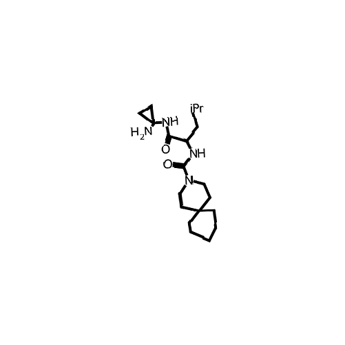 CC(C)CC(NC(=O)N1CCC2(CCCCC2)CC1)C(=O)NC1(N)CC1